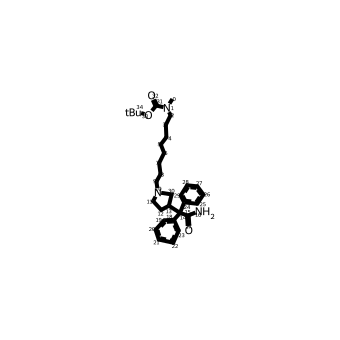 CN(CCCCCCCCN1CCC(C(C(N)=O)(c2ccccc2)c2ccccc2)C1)C(=O)OC(C)(C)C